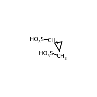 C1CC1.CS(=O)(=O)O.CS(=O)(=O)O